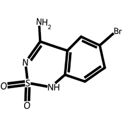 NC1=NS(=O)(=O)Nc2ccc(Br)cc21